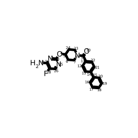 Nc1nc(OC2CCN(C(=O)c3ccc(-c4ccccc4)cc3)CC2)ncc1F